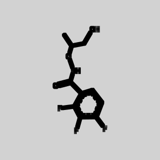 CC(CO)ONC(=O)c1ccc(F)c(F)c1F